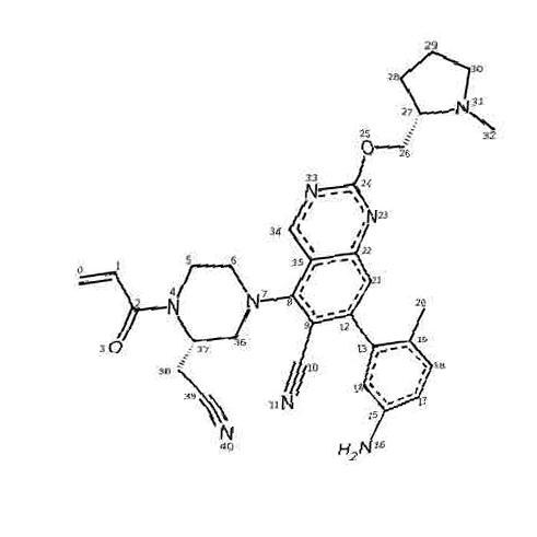 C=CC(=O)N1CCN(c2c(C#N)c(-c3cc(N)ccc3C)cc3nc(OC[C@@H]4CCCN4C)ncc23)C[C@@H]1CC#N